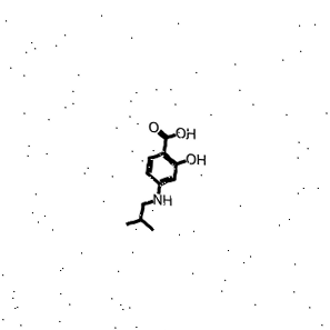 CC(C)CNc1ccc(C(=O)O)c(O)c1